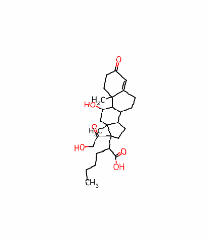 CCCCC(C(=O)O)C1(C(=O)CO)CCC2C3CCC4=CC(=O)CCC4(C)C3C(O)CC21C